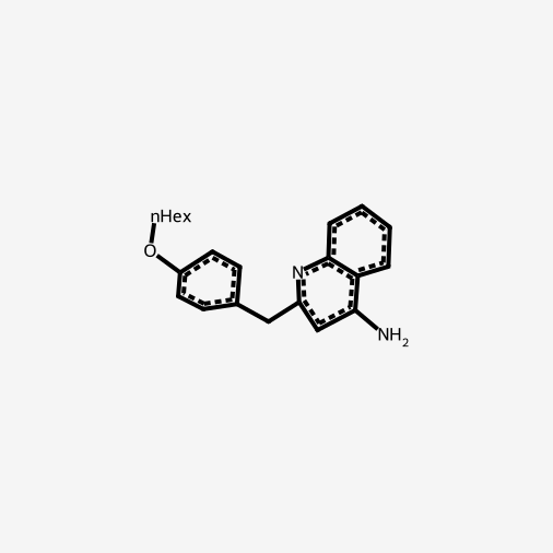 CCCCCCOc1ccc(Cc2cc(N)c3ccccc3n2)cc1